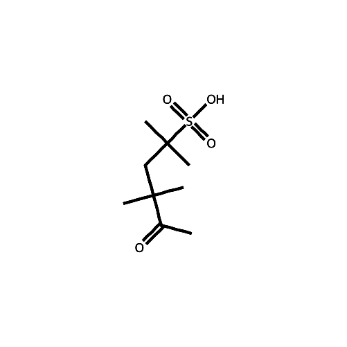 CC(=O)C(C)(C)CC(C)(C)S(=O)(=O)O